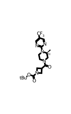 C[C@H]1CN(C(=O)C2CN(C(=O)OC(C)(C)C)C2)CCN1c1ncc(C(F)(F)F)cn1